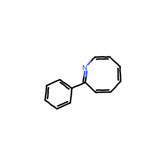 C1=CC=CC(c2ccccc2)=NC=C1